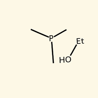 CCO.CP(C)C